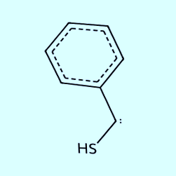 S[C]c1ccccc1